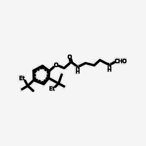 CCC(C)(C)c1ccc(OCC(=O)NCCCNC=O)c(C(C)(C)CC)c1